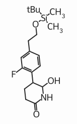 CC(C)(C)[Si](C)(C)OCCc1ccc(C2CCC(=O)NC2O)c(F)c1